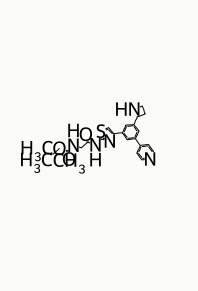 CC(C)(C)OC(=O)NCC(=O)Nc1nc(-c2cc(-c3ccncc3)cc(C3CCN3)c2)cs1